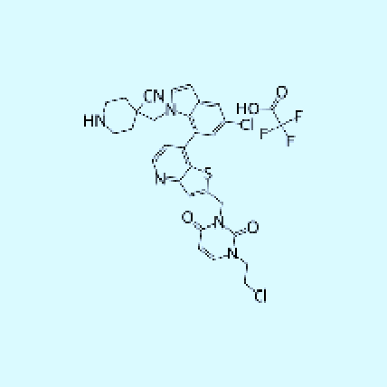 N#CC1(Cn2ccc3cc(Cl)cc(-c4ccnc5cc(Cn6c(=O)ccn(CCCl)c6=O)sc45)c32)CCNCC1.O=C(O)C(F)(F)F